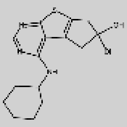 OC1(O)Cc2sc3ncnc(NC4CCCCC4)c3c2C1